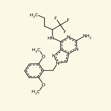 CCCC(Nc1nc(N)nc2cn(Cc3c(OC)cccc3OC)nc12)C(F)(F)F